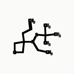 C=CCC1(N(CC)SC(C)(C)C)COC1